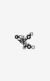 CN1CCC[C@H]1CCCN(CNC(=O)c1ccc(Cl)cc1)S(=O)(=O)NCc1ccc(Cl)cc1